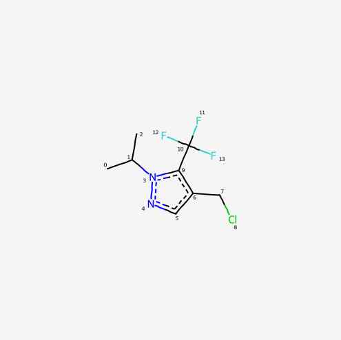 CC(C)n1ncc(CCl)c1C(F)(F)F